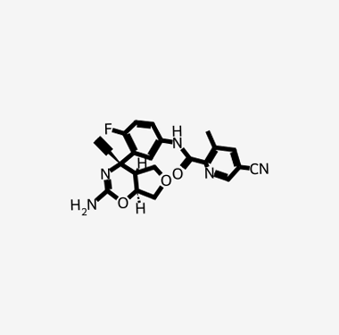 C#C[C@]1(c2cc(NC(=O)c3ncc(C#N)cc3C)ccc2F)N=C(N)O[C@@H]2COC[C@@H]21